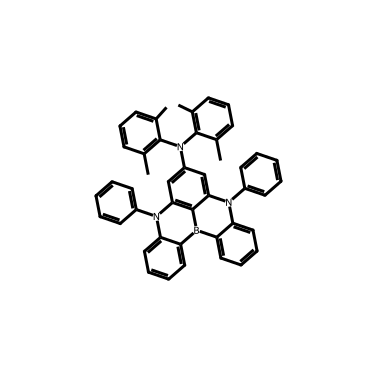 Cc1cccc(C)c1N(c1cc2c3c(c1)N(c1ccccc1)c1ccccc1B3c1ccccc1N2c1ccccc1)c1c(C)cccc1C